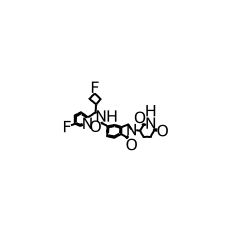 O=C1CCC(N2Cc3cc(C(=O)N[C@H](c4ccc(F)cn4)C4CC(F)C4)ccc3C2=O)C(=O)N1